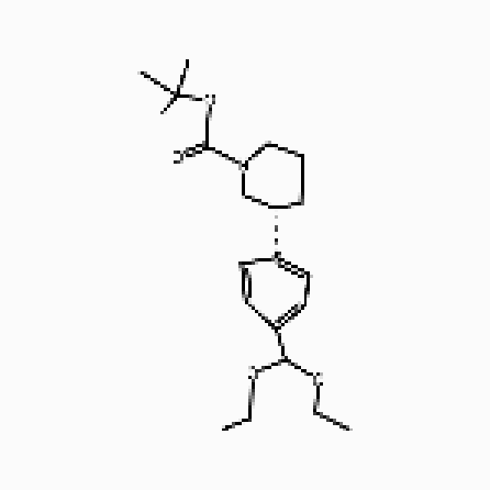 CCOC(OCC)c1ccc([C@H]2CCCN(C(=O)OC(C)(C)C)C2)cc1